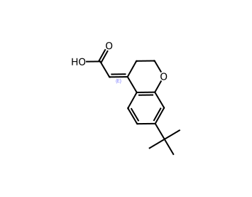 CC(C)(C)c1ccc2c(c1)OCC/C2=C\C(=O)O